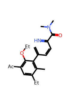 C=C(/C=C\C(=N)C(=O)N(C)C)c1c(C)c(CC)cc(C(C)=O)c1OCC